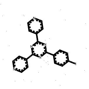 Ic1ccc(-c2nc(-c3ccncc3)nc(-c3ccncc3)n2)cc1